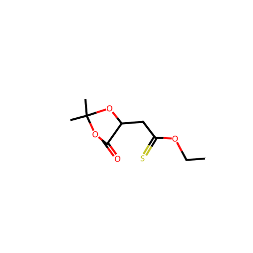 CCOC(=S)CC1OC(C)(C)OC1=O